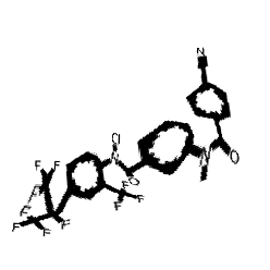 CN(C(=O)c1ccc(C#N)cc1)c1cccc(C(=O)N(Cl)c2ccc(C(F)(C(F)(F)F)C(F)(F)F)cc2C(F)(F)F)c1